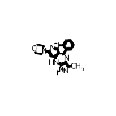 Cc1nn(I)c2c1N=C(c1ccccc1Cl)c1cnc(N3CCOCC3)cc1N2